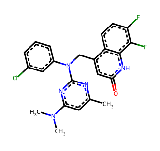 Cc1cc(N(C)C)nc(N(Cc2cc(=O)[nH]c3c(F)c(F)ccc23)c2cccc(Cl)c2)n1